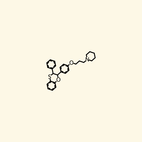 c1ccc(C2Sc3ccccc3OC2c2ccc(OCCCN3CCCCC3)cc2)cc1